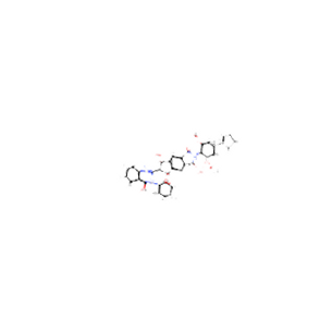 COc1cc(C2=CC=CC2)cc(OC)c1N1C(=O)c2cc3c(cc2C1=O)C(=O)C(c1nc2ccccc2c(=O)n1-c1ccccc1)C3=O